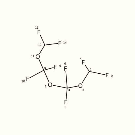 FC(F)OC(F)(F)OC(F)(F)OC(F)F